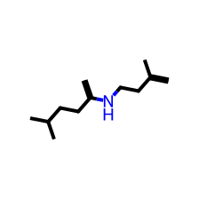 C=C(C)CCNC(=C)CCC(C)C